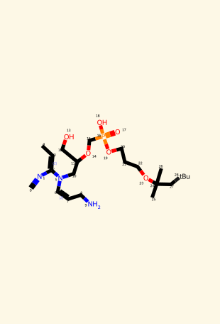 C=N/C(=C\C)N(/C=C\CN)CC(CO)OCP(=O)(O)OCCCOC(C)(C)CC(C)(C)C